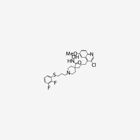 COc1ccc2ncc(Cl)c(CCCC3(C(=O)NO)CCN(CCCSc4cccc(F)c4F)CC3)c2c1